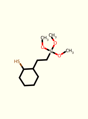 CO[Si](CCC1CCCCC1S)(OC)OC